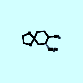 CCOC(=O)[C@@H]1CC2(CCC1N)OCCO2